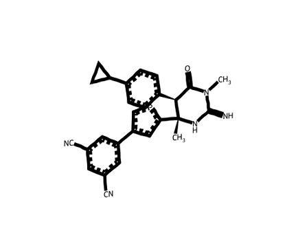 CN1C(=N)N[C@](C)(c2cc(-c3cc(C#N)cc(C#N)c3)cs2)[C@@H](c2ccc(C3CC3)cc2)C1=O